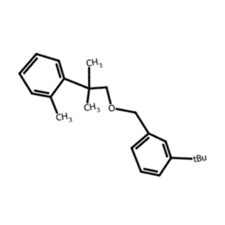 Cc1ccccc1C(C)(C)COCc1cccc(C(C)(C)C)c1